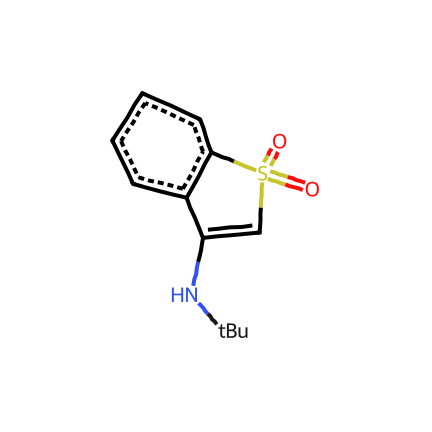 CC(C)(C)NC1=CS(=O)(=O)c2ccccc21